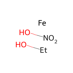 CCO.O=[N+]([O-])O.[Fe]